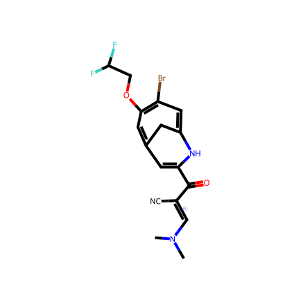 CN(C)/C=C(\C#N)C(=O)C1=CC2=CC(OCC(F)F)=C(Br)C=C(C2)N1